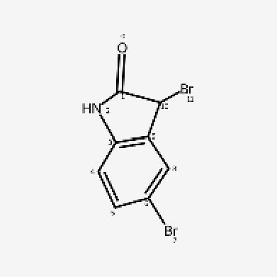 O=C1Nc2ccc(Br)cc2C1Br